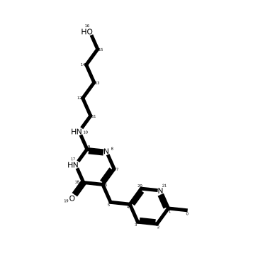 Cc1ccc(Cc2cnc(NCCCCCO)[nH]c2=O)cn1